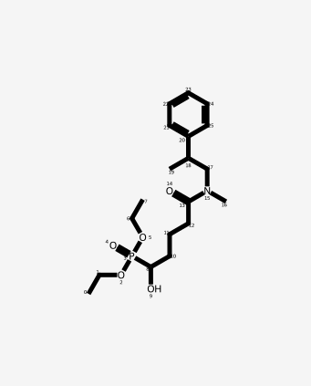 CCOP(=O)(OCC)C(O)CCCC(=O)N(C)CC(C)c1ccccc1